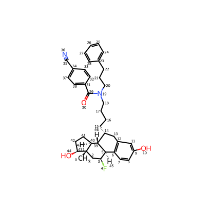 C[C@]12C[C@H](F)[C@@H]3c4ccc(O)cc4C[C@@H](CCCCN(CCCc4ccccc4)C(=O)c4ccc(C#N)cc4)[C@H]3[C@@H]1CC[C@@H]2O